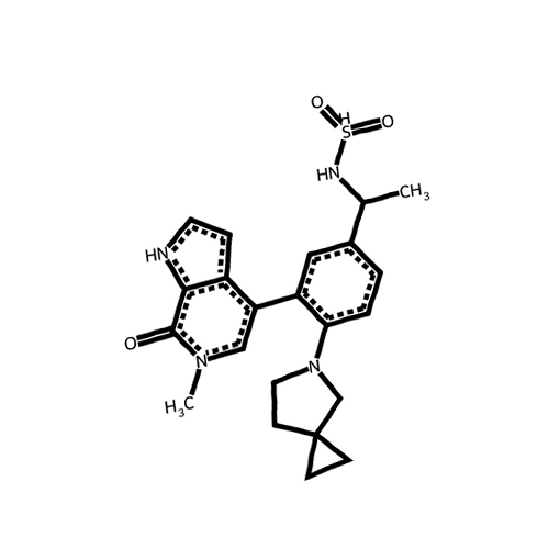 CC(N[SH](=O)=O)c1ccc(N2CCC3(CC3)C2)c(-c2cn(C)c(=O)c3[nH]ccc23)c1